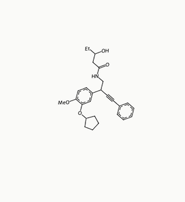 CCC(O)CC(=O)NCC(C#Cc1ccccc1)c1ccc(OC)c(OC2CCCC2)c1